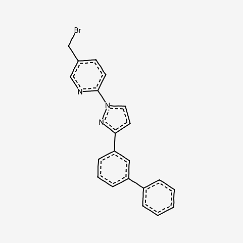 BrCc1ccc(-n2ccc(-c3cccc(-c4ccccc4)c3)n2)nc1